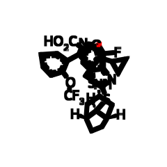 O=C(O)c1cc(F)c2nc(S[C@@H]3[C@@H]4CC[C@H]3C[C@@H](NCc3c(-c5ccccc5OC(F)(F)F)noc3C3CC3)C4)sc2c1